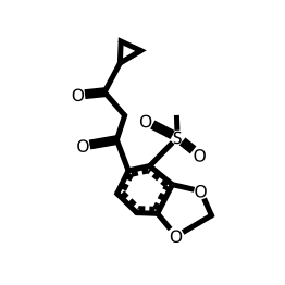 CS(=O)(=O)c1c(C(=O)CC(=O)C2CC2)ccc2c1OCO2